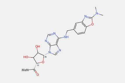 CNC(=O)[C@H]1O[C@@H](n2cnc3c(NCc4ccc5oc(N(C)C)nc5c4)ncnc32)C(O)C1O